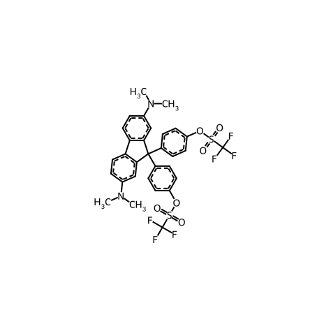 CN(C)c1ccc2c(c1)C(c1ccc(OS(=O)(=O)C(F)(F)F)cc1)(c1ccc(OS(=O)(=O)C(F)(F)F)cc1)c1cc(N(C)C)ccc1-2